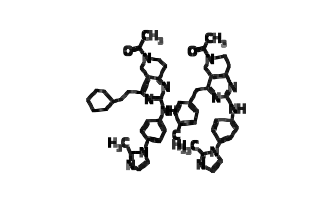 CC(=O)N1CCc2nc(Nc3ccc(-n4ccnc4C)cc3)nc(CCC3CCCCC3)c2C1.CC(=O)N1CCc2nc(Nc3ccc(-n4ccnc4C)cc3)nc(Cc3ccc(C)cc3)c2C1